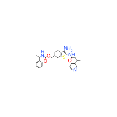 CC(CC(=O)Nc1sc2c(c1N)CCC(COC(=O)NC(C)c1ccccc1)C2)c1cccnc1